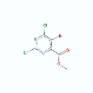 COC(=O)c1nc(Cl)nc(Cl)c1Br